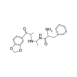 CC(NC(=O)C(N)Cc1ccccc1)NC(C)C(=O)c1ccc2c(c1)OCO2